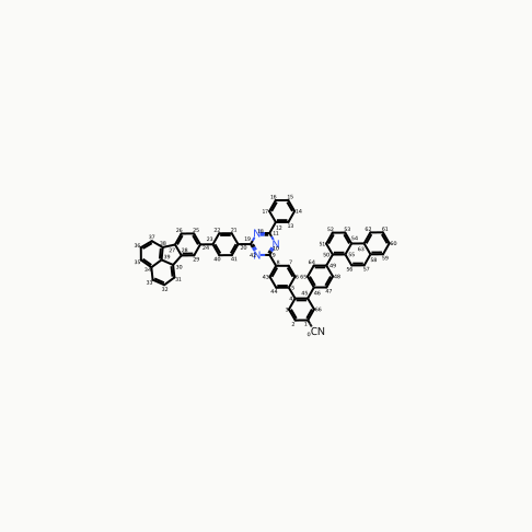 N#Cc1ccc(-c2ccc(-c3nc(-c4ccccc4)nc(-c4ccc(-c5ccc6c(c5)-c5cccc7cccc-6c57)cc4)n3)cc2)c(-c2ccc(-c3cccc4c3ccc3ccccc34)cc2)c1